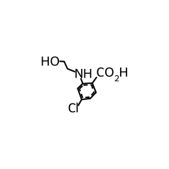 O=C(O)c1ccc(Cl)cc1NCCO